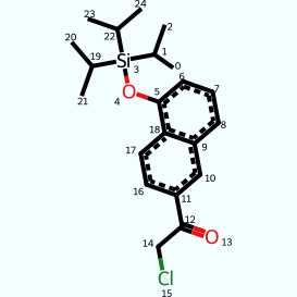 CC(C)[Si](Oc1cccc2cc(C(=O)CCl)ccc12)(C(C)C)C(C)C